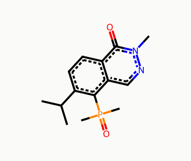 CC(C)c1ccc2c(=O)n(C)ncc2c1P(C)(C)=O